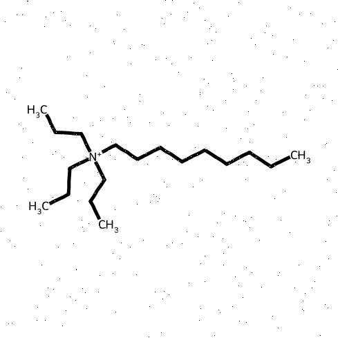 CCCCCCCCC[N+](CCC)(CCC)CCC